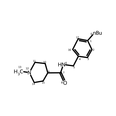 CCCCc1ccc(CNC(=O)C2CCN(C)CC2)cc1